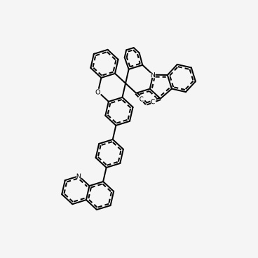 c1ccc2c(c1)Oc1cc(-c3ccc(-c4cccc5cccnc45)cc3)ccc1C21c2ccccc2-n2c3ccccc3c3cccc1c32